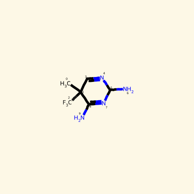 CC1(C(F)(F)F)C=NC(N)N=C1N